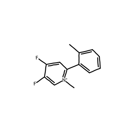 Cc1ccccc1-c1cc(F)c(F)c[n+]1C